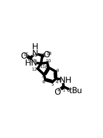 CC(C)(C)C(=O)Nc1ccc2c(c1)CC1(C2)NC(=O)NC1=O